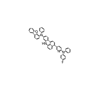 Fc1ccc(N(c2ccccc2)c2ccc(-c3ccc4c5c(cccc35)Nc3cc(N(c5ccccc5)c5cccc6c5oc5ccccc56)ccc3-4)cn2)cc1